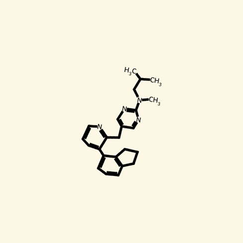 CC(C)CN(C)c1ncc(Cc2ncccc2-c2cccc3c2CCC3)cn1